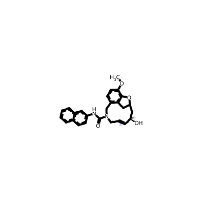 COc1ccc2c3c1OC(C3)C[C@@H](O)/C=C/CN(C(=O)Nc1ccc3ccccc3c1)C2